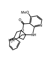 COc1ccnc(NC23CC(N)(C2)C3)c1C(=O)OCc1ccccc1